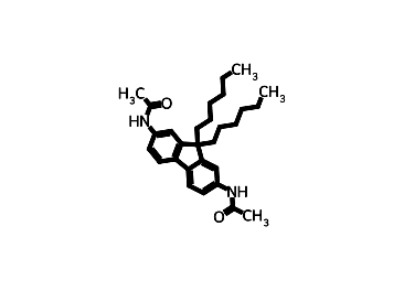 CCCCCCC1(CCCCCC)c2cc(NC(C)=O)ccc2-c2ccc(NC(C)=O)cc21